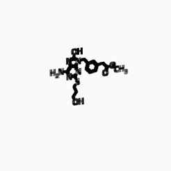 COC(=O)Cc1cccc(Cn2c(O)nc3c(N)nc(SCCCO)nc32)c1